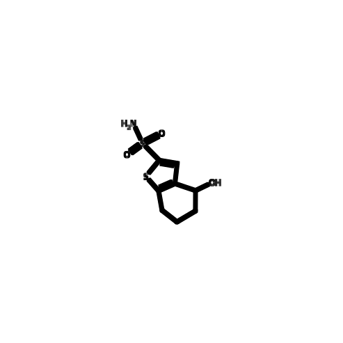 NS(=O)(=O)c1cc2c(s1)CCCC2O